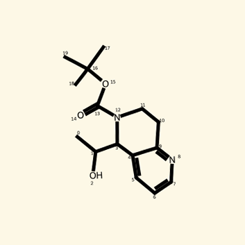 CC(O)C1c2cccnc2CCN1C(=O)OC(C)(C)C